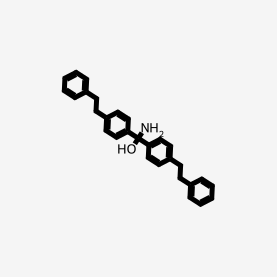 NC(O)(c1ccc(CCc2ccccc2)cc1)c1ccc(CCc2ccccc2)cc1